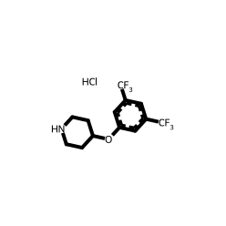 Cl.FC(F)(F)c1cc(OC2CCNCC2)cc(C(F)(F)F)c1